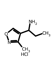 CCC(N)c1conc1C.Cl